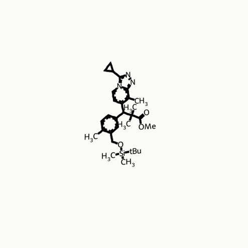 COC(=O)C(C)(C)C(c1ccc(C)c(CO[Si](C)(C)C(C)(C)C)c1)c1ccn2c(C3CC3)nnc2c1C